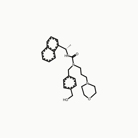 C[C@H](NC(=O)N(CCCN1CCOCC1)Cc1ccc(CO)cc1)c1cccc2ccccc12